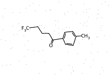 Cc1ccc(C(=O)CCCC(F)(F)F)cc1